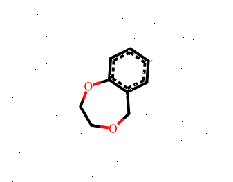 [c]1ccc2c(c1)COCCO2